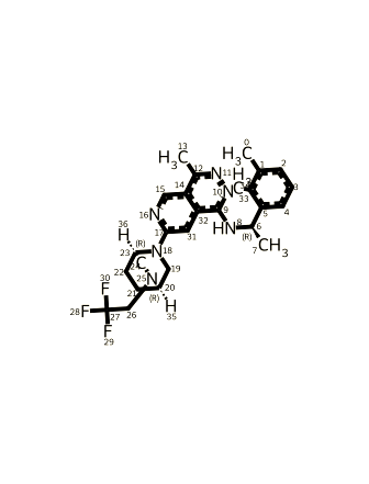 Cc1cccc([C@@H](C)Nc2nnc(C)c3cnc(N4C[C@H]5CC[C@@H]4CN5CC(F)(F)F)cc23)c1C